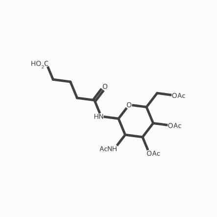 CC(=O)NC1C(NC(=O)CCCC(=O)O)OC(COC(C)=O)C(OC(C)=O)C1OC(C)=O